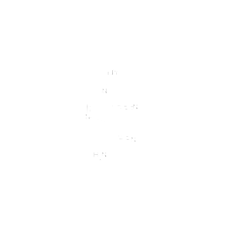 C[CH]Cn1cnc2c(N)ncnc21